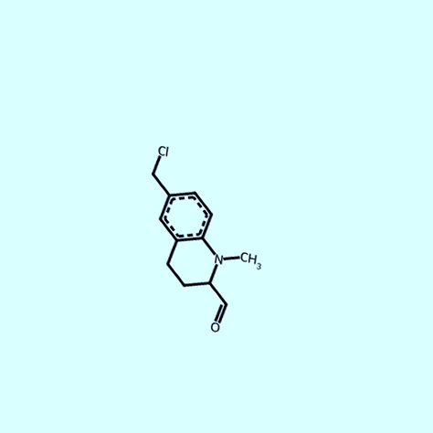 CN1c2ccc(CCl)cc2CCC1C=O